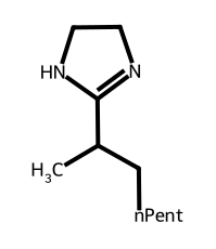 CCCCCCC(C)C1=NCCN1